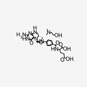 CN(C)CCO.Nc1nc2c(c(=O)[nH]1)N(C=O)[C@@H](CNc1ccc(C(=O)NC(CCC(=O)O)C(=O)O)cc1)CN2